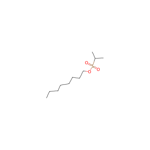 CCCCCCCCOS(=O)(=O)C(C)C